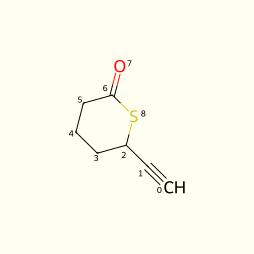 C#CC1CCCC(=O)S1